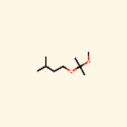 COC(C)(C)OCCC(C)C